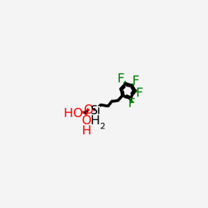 OC(O)O[SiH2]CCCCc1cc(F)c(F)c(F)c1F